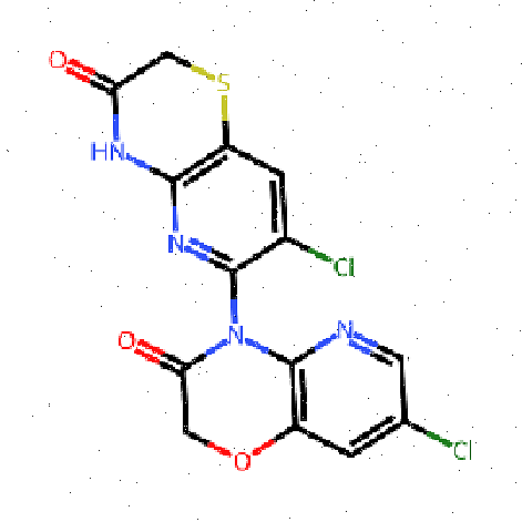 O=C1CSc2cc(Cl)c(N3C(=O)COc4cc(Cl)[c]nc43)nc2N1